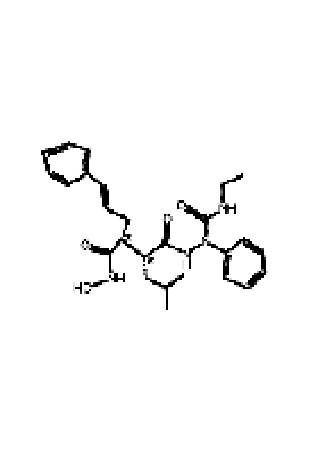 CCNC(=O)N(NC(=O)[C@H](CC(C)C)[C@H](CC=Cc1ccccc1)C(=O)NO)c1ccccc1